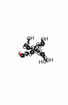 O=C(Oc1cccc(CON(O)O)c1)OC1CN(C(=O)Oc2cccc(CO)c2)CC(OCc2ccc3c(c2)N(CCCO)CCO3)C1c1ccc(OC2CCN(c3cccc(F)c3)C2)cc1